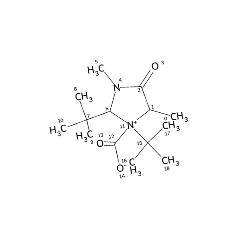 CC1C(=O)N(C)C(C(C)(C)C)[N+]1(C(=O)[O-])C(C)(C)C